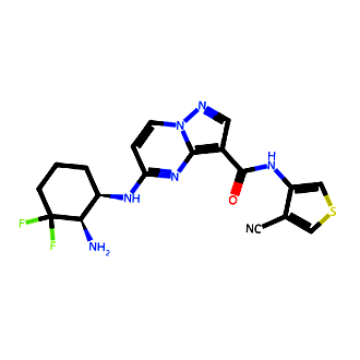 N#Cc1cscc1NC(=O)c1cnn2ccc(N[C@@H]3CCCC(F)(F)[C@@H]3N)nc12